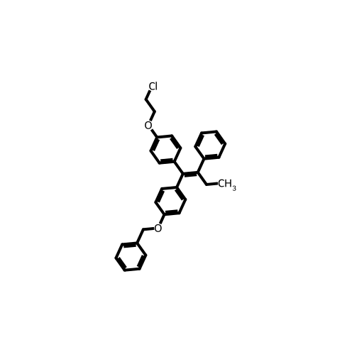 CC/C(=C(/c1ccc(OCCCl)cc1)c1ccc(OCc2ccccc2)cc1)c1ccccc1